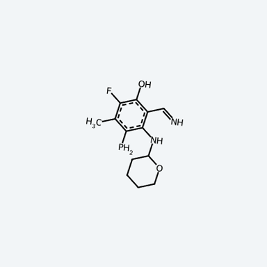 Cc1c(F)c(O)c(C=N)c(NC2CCCCO2)c1P